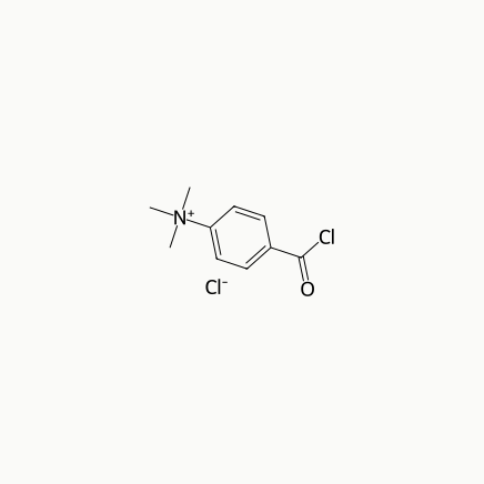 C[N+](C)(C)c1ccc(C(=O)Cl)cc1.[Cl-]